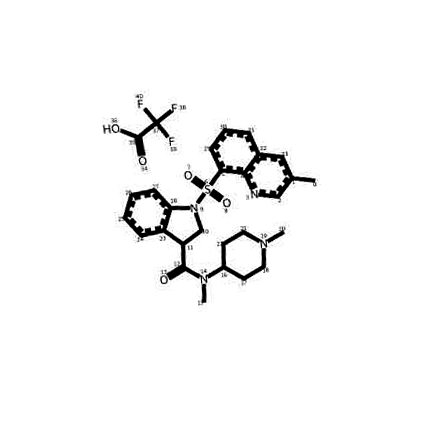 Cc1cnc2c(S(=O)(=O)N3CC(C(=O)N(C)C4CCN(C)CC4)c4ccccc43)cccc2c1.O=C(O)C(F)(F)F